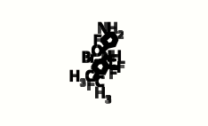 CC(C)(F)c1cc(Br)c(NC(=O)c2cccc(N)c2F)c(C(F)(F)F)c1